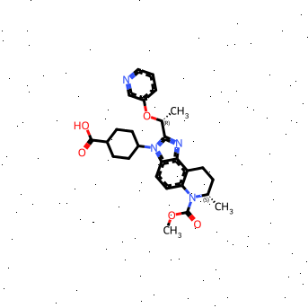 COC(=O)N1c2ccc3c(nc([C@@H](C)Oc4cccnc4)n3C3CCC(C(=O)O)CC3)c2CC[C@@H]1C